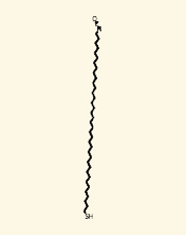 O=C=NCCCCCCCCCCCCCCCCCCCCCCCCCCCCCCCCCCCCCS